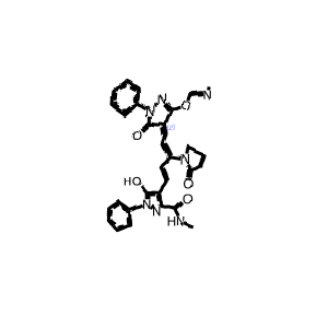 CN=COC1=NN(c2ccccc2)C(=O)/C1=C\C=C(C=Cc1c(C(=O)NC)nn(-c2ccccc2)c1O)N1CCCC1=O